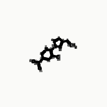 C=Cc1cnn(-c2ncc([N+](=O)[O-])cc2Cl)n1